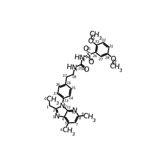 CCc1nc2c(C)cc(C)nc2n1-c1ccc(CCNC(=O)NS(=O)(=O)c2cc(OC)ccc2OC)cc1